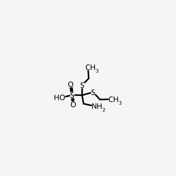 CCSC(CN)(SCC)S(=O)(=O)O